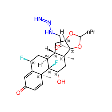 CCCC1O[C@@H]2C[C@H]3[C@@H]4C[C@H](F)C5=CC(=O)C=C[C@]5(C)[C@@]4(F)[C@@H](O)C[C@]3(C)[C@]2(C(=O)CNN=N)O1